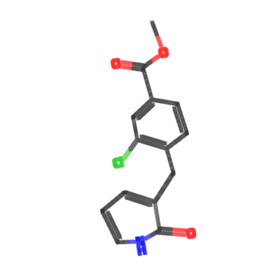 COC(=O)c1ccc(Cc2ccc[nH]c2=O)c(Cl)c1